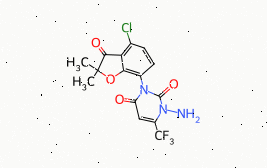 CC1(C)Oc2c(-n3c(=O)cc(C(F)(F)F)n(N)c3=O)ccc(Cl)c2C1=O